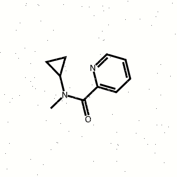 CN(C(=O)c1ccccn1)C1CC1